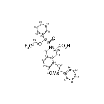 COc1ccc2c(c1OCc1ccccc1)C[C@@H](C(=O)O)N(C(=O)C(OCC(F)(F)F)c1ccccc1)C2